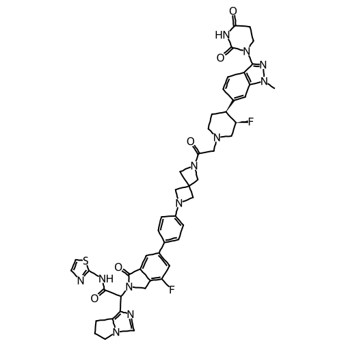 Cn1nc(N2CCC(=O)NC2=O)c2ccc([C@@H]3CCN(CC(=O)N4CC5(C4)CN(c4ccc(-c6cc(F)c7c(c6)C(=O)N(C(C(=O)Nc6nccs6)c6ncn8c6CCC8)C7)cc4)C5)C[C@@H]3F)cc21